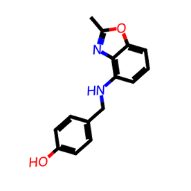 Cc1nc2c(NCc3ccc(O)cc3)cccc2o1